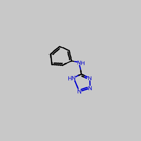 [c]1ccc(Nc2nnn[nH]2)cc1